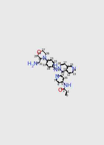 C=CC(=O)Nc1ccnc([C@H]2c3ccncc3C=CN2Nc2ccc(N3CCOCC3CN)cc2)c1